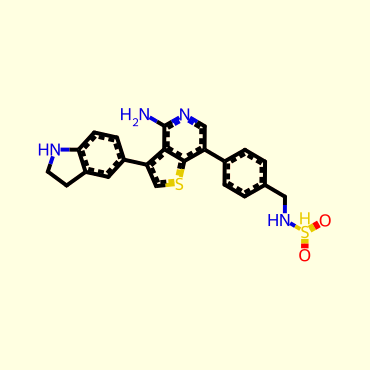 Nc1ncc(-c2ccc(CN[SH](=O)=O)cc2)c2scc(-c3ccc4c(c3)CCN4)c12